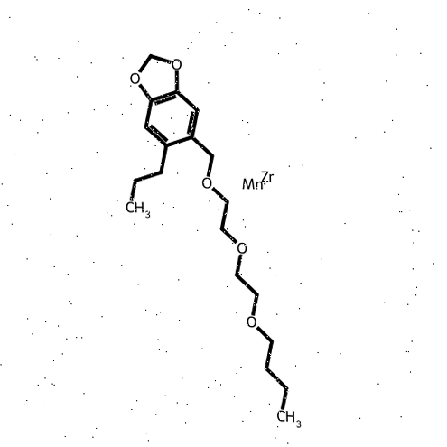 CCCCOCCOCCOCc1cc2c(cc1CCC)OCO2.[Mn].[Zr]